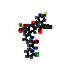 CNC(=O)c1c(-c2ccc(F)cc2)oc2cc(N(C)S(C)(=O)=O)c([C@H]3CCCN(C(=O)c4cc5cccc(Cl)n5c4)C3)cc12